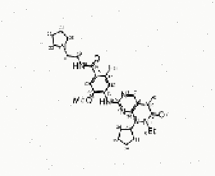 CCN1C(=O)N(C)c2cnc(Nc3cc(F)c(C(=O)NCCN4CCCC4)cc3OC)nc2N1C1CCCC1